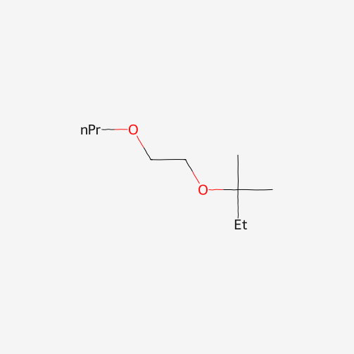 CCCOCCOC(C)(C)CC